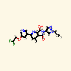 Cc1cc(-c2cncc(OCC(F)F)c2)nc2c1C(=O)N(c1cnn(CC(F)(F)F)c1)C2O